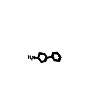 NC1C=CC(c2ccccc2)=CC1